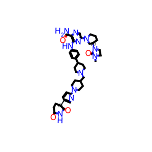 CN1CCN([C@@H]2CCCN(c3cnc(C(N)=O)c(Nc4ccc(C5CCN(CC6CCN(c7ccc([C@@H]8CCC(=O)NC8=O)cn7)CC6)CC5)cc4)n3)C2)C1=O